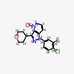 [O-][n+]1cccc2c1c(C1CCOCC1)nn2-c1ccc(Cl)c(F)c1